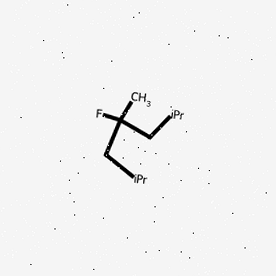 CC(C)CC(C)(F)CC(C)C